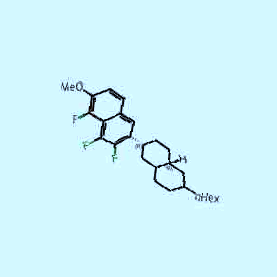 CCCCCCC1CCC2C[C@H](c3cc4ccc(OC)c(F)c4c(F)c3F)CC[C@@H]2C1